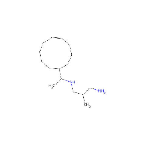 CC(CN)CNC(C)C1CCCCCCCCC1